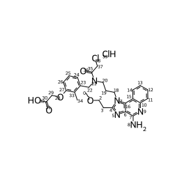 COCCc1nc2c(N)nc3ccccc3c2n1CCCN(Cc1cccc(OCC(=O)O)c1C)C(=O)CCl.Cl